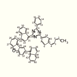 C/C=C\C=C/c1ccc(-c2nc(-c3ccccc3)nc(-c3ccc(-c4cccc5oc6ccc(-c7cccc8ccccc78)cc6c45)c4ccccc34)n2)cc1